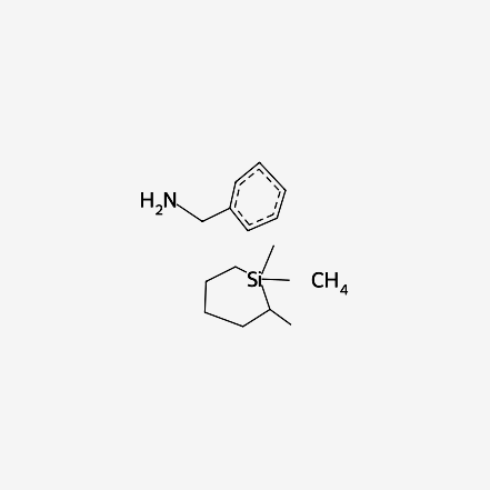 C.CC1CCCC[Si]1(C)C.NCc1ccccc1